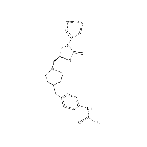 CC(=O)Nc1ccc(CC2CCN(C[C@H]3CN(c4ccccc4)C(=O)O3)CC2)cc1